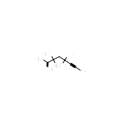 C=C(Br)C(C)(C)CC(C)(C)C#CC(C)CC